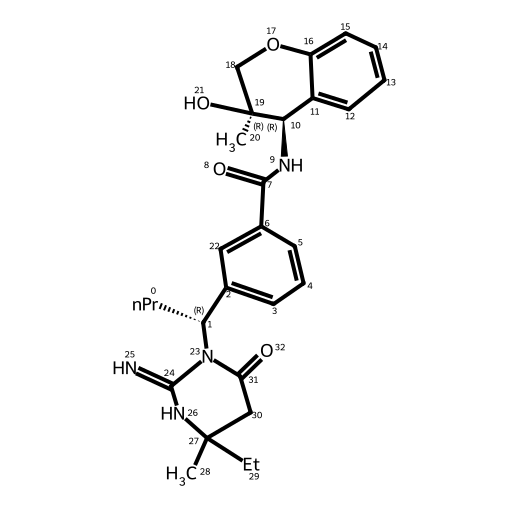 CCC[C@H](c1cccc(C(=O)N[C@@H]2c3ccccc3OC[C@]2(C)O)c1)N1C(=N)NC(C)(CC)CC1=O